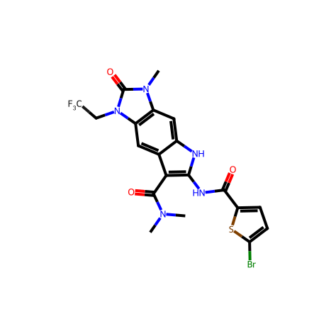 CN(C)C(=O)c1c(NC(=O)c2ccc(Br)s2)[nH]c2cc3c(cc12)n(CC(F)(F)F)c(=O)n3C